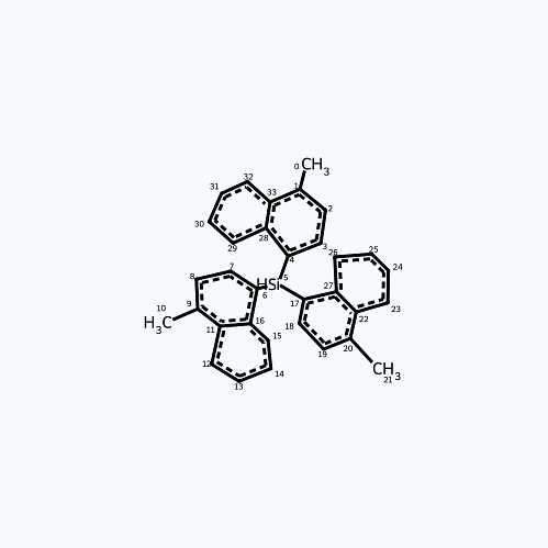 Cc1ccc([SiH](c2ccc(C)c3ccccc23)c2ccc(C)c3ccccc23)c2ccccc12